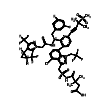 CC(C)(CC(=O)O)C(=O)NS(=O)(=O)Cc1nn(CC(F)(F)F)c2c(-c3ccc(C#CC(C)(C)S(C)(=O)=O)nc3[C@H](Cc3cc(F)cc(F)c3)NC(=O)Cn3nc(C(F)(F)F)c4c3C(F)(F)[C@@H]3C[C@H]43)ccc(Cl)c12